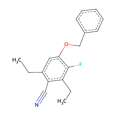 CCc1cc(OCc2ccccc2)c(F)c(CC)c1C#N